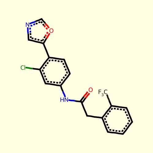 O=C(Cc1ccccc1C(F)(F)F)Nc1ccc(-c2cnco2)c(Cl)c1